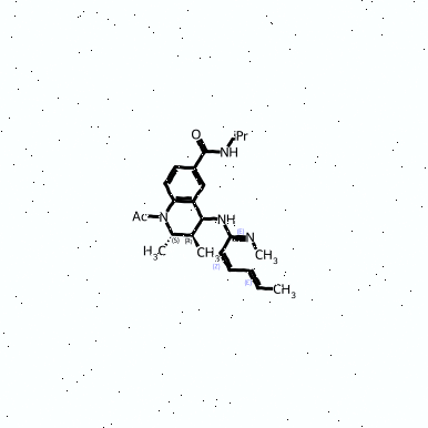 C/C=C/C=C\C(=N/C)NC1c2cc(C(=O)NC(C)C)ccc2N(C(C)=O)[C@@H](C)[C@@H]1C